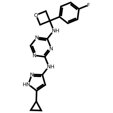 Fc1ccc(C2(Nc3ncnc(Nc4cc(C5CC5)[nH]n4)n3)COC2)cc1